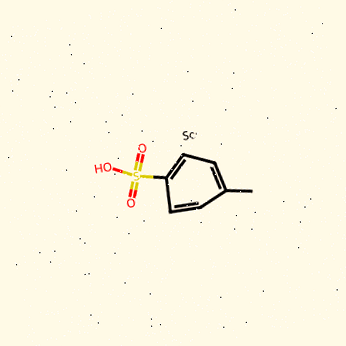 Cc1ccc(S(=O)(=O)O)cc1.[Sc]